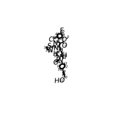 COC(=O)C1=C(CN2CCN3C(=O)N(c4ccc(C#CCO)cc4)C[C@@H]3C2)NC(c2nccs2)=N[C@H]1c1ccc(F)cc1Cl